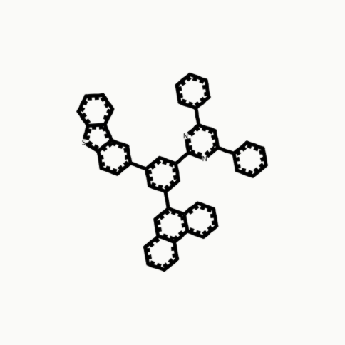 c1ccc(-c2cc(-c3ccccc3)nc(-c3cc(-c4ccc5sc6ccccc6c5c4)cc(-c4cc5ccccc5c5ccccc45)c3)n2)cc1